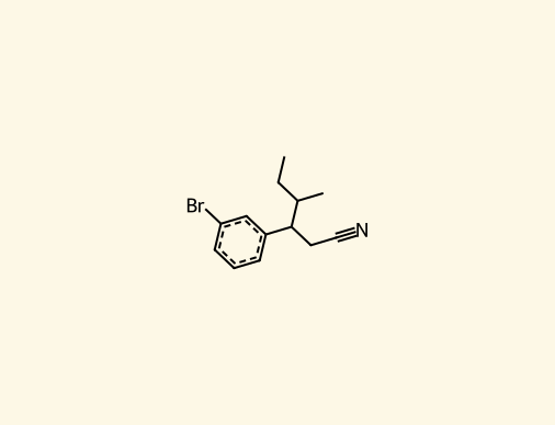 CCC(C)C(CC#N)c1cccc(Br)c1